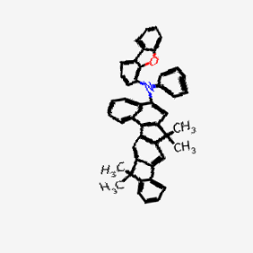 CC1(C)c2ccccc2-c2cc3c(cc21)-c1c(cc(N(c2ccccc2)c2cccc4c2oc2ccccc24)c2ccccc12)C3(C)C